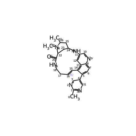 Cc1ncc(-c2ccc3ncc4cc3c2/C=C/CCNC(=O)C2CC(CC(C)N2C)N4)cn1